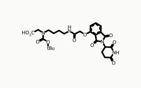 CC(C)(C)OC(=O)N(CCCCNC(=O)COc1cccc2c1C(=O)N(C1CCC(=O)NC1=O)C2=O)CC(=O)O